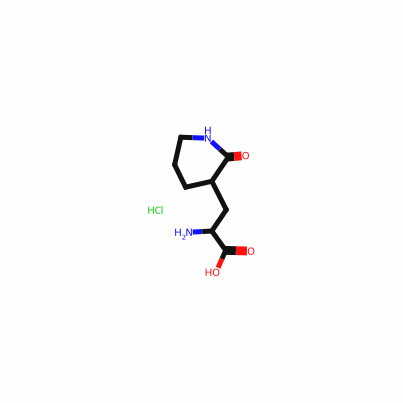 Cl.NC(CC1CCCNC1=O)C(=O)O